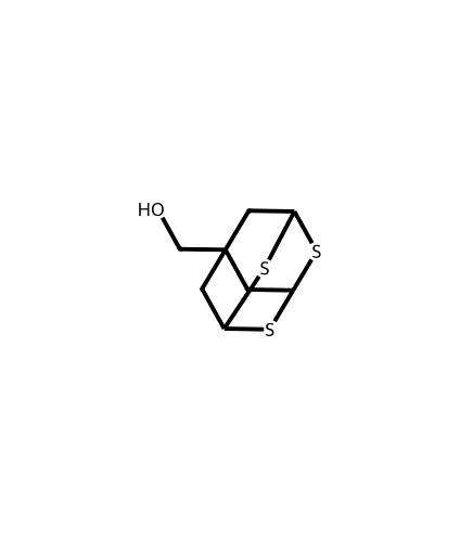 OCC12CC3SC(C1)SC(C2)S3